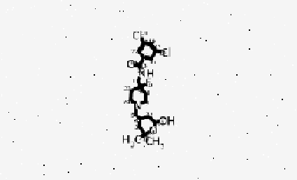 CC1(C)CC(CN2CCC(F)(CNC(=O)c3cc(Cl)cc(Cl)c3)CC2)CC(O)O1